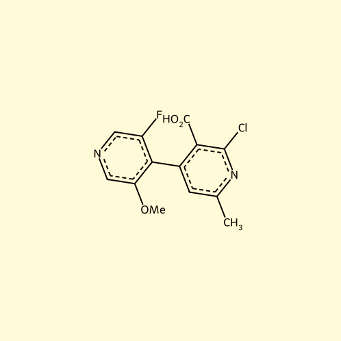 COc1cncc(F)c1-c1cc(C)nc(Cl)c1C(=O)O